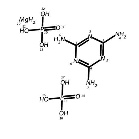 Nc1nc(N)nc(N)n1.O=P(O)(O)O.O=P(O)(O)O.[MgH2]